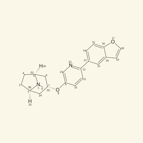 CN1[C@@H]2CC[C@H]1C[C@H](Oc1ccc(-c3ccc4occc4c3)nc1)C2